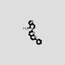 NC1c2ccsc2C=CN1c1ccc2ccc(-c3ccccc3)nc2n1